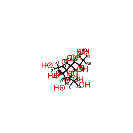 CC(CO)(CO)C(=O)OC(C(=O)C(C)(CO)CO)(C(=O)C(C)(CO)CO)C(CO)(CO)C(O)C(=O)C(C)(CO)CO